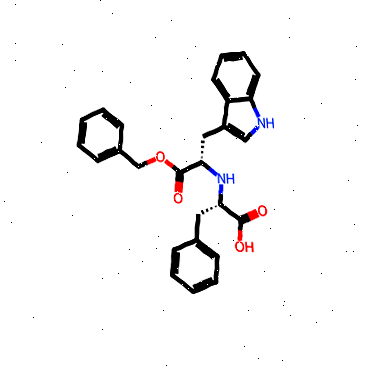 O=C(O)[C@H](Cc1ccccc1)N[C@@H](Cc1c[nH]c2ccccc12)C(=O)OCc1ccccc1